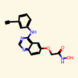 C#Cc1cccc(Nc2ncnc3ccc(OCC(=O)NO)cc23)c1